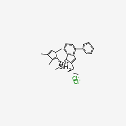 CC.CCC1=Cc2c(-c3ccccc3)cccc2[CH]1[Zr+2]([SiH2]C)[C]1=C(C)C(C)=CC1C.[Cl-].[Cl-]